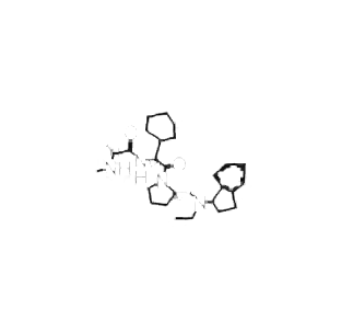 CCN(C[C@@H]1CCCN1C(=O)[C@@H](NC(=O)[C@H](C)NC)C1CCCCC1)C1CCc2ccccc21